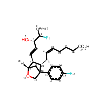 CCCCCC(F)[C@@H](O)/C=C/[C@@H]1[C@@H]2C[C@@](c3ccc(F)cc3)(CO2)[C@H]1C/C=C\CCCC(=O)O